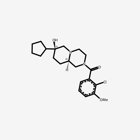 COc1cccc(C(=O)N2CCN3C[C@@](O)(C4CCCC4)CC[C@@H]3C2)c1Cl